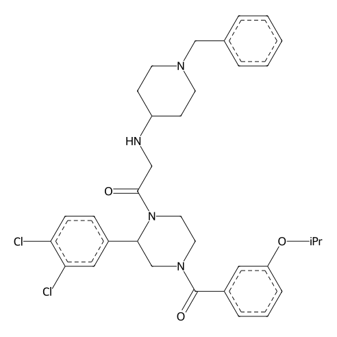 CC(C)Oc1cccc(C(=O)N2CCN(C(=O)CNC3CCN(Cc4ccccc4)CC3)C(c3ccc(Cl)c(Cl)c3)C2)c1